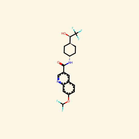 O=C(N[C@H]1CC[C@H]([C@@H](O)C(F)(F)F)CC1)c1cnc2cc(OC(F)F)ccc2c1